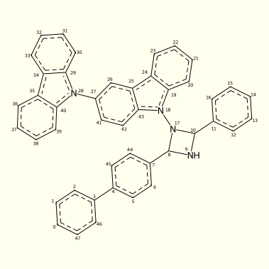 c1ccc(-c2ccc(C3NC(c4ccccc4)N3n3c4ccccc4c4cc(-n5c6ccccc6c6ccccc65)ccc43)cc2)cc1